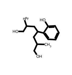 CCCC(CO)CC(CC(C)CO)c1ccccc1O